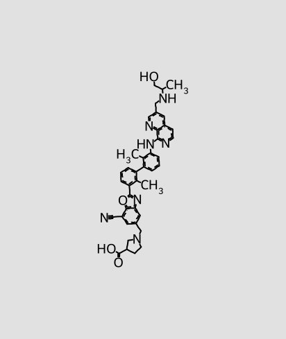 Cc1c(Nc2nccc3cc(CNC(C)CO)cnc23)cccc1-c1cccc(-c2nc3cc(CN4CCC(C(=O)O)C4)cc(C#N)c3o2)c1C